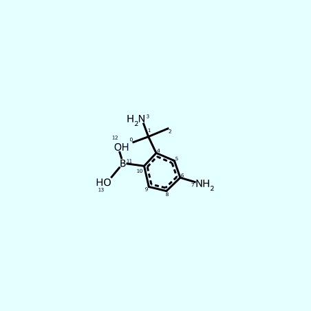 CC(C)(N)c1cc(N)ccc1B(O)O